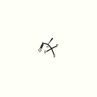 C[C@H]([C]=O)C(F)(F)F